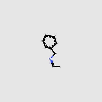 C/C=N\Cc1ccccc1